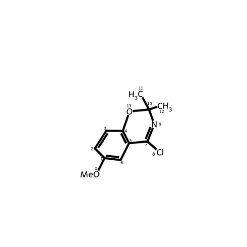 COc1ccc2c(c1)C(Cl)=NC(C)(C)O2